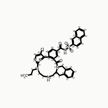 CCCN1CCNCC2Cc3ccccc3CN2C(=O)c2cc(C(=O)NS(=O)(=O)c3ccc4ccccc4c3)ccc2-c2nc1ncc2Cl